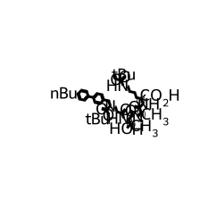 CCCCc1ccc(-c2ccc(CN(CCC(=O)N[C@H](C(=O)N[C@@H](C)C(=O)N[C@@H](CCCCNC(=O)OC(C)(C)C)C(=O)O)[C@@H](C)O)C(=O)OC(C)(C)C)cc2)cc1